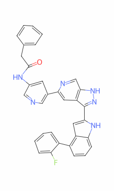 O=C(Cc1ccccc1)Nc1cncc(-c2cc3c(-c4cc5c(-c6ccccc6F)cccc5[nH]4)n[nH]c3cn2)c1